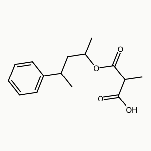 CC(CC(C)c1ccccc1)OC(=O)C(C)C(=O)O